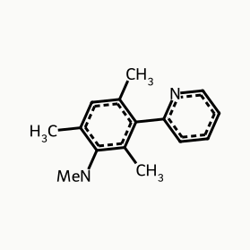 CNc1c(C)cc(C)c(-c2ccccn2)c1C